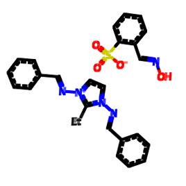 CCc1n(N=Cc2ccccc2)cc[n+]1N=Cc1ccccc1.O=S(=O)([O-])c1ccccc1C=NO